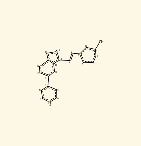 Clc1cccc(C=Cn2ncc3ccc(-c4ccncc4)cc32)c1